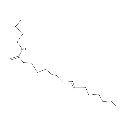 C=C(CCCCCCC/C=C/CCCCCC)NCCCC